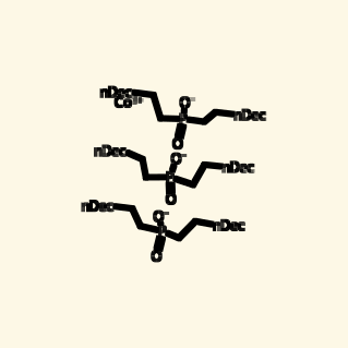 CCCCCCCCCCCCP(=O)([O-])CCCCCCCCCCCC.CCCCCCCCCCCCP(=O)([O-])CCCCCCCCCCCC.CCCCCCCCCCCCP(=O)([O-])CCCCCCCCCCCC.[Co+3]